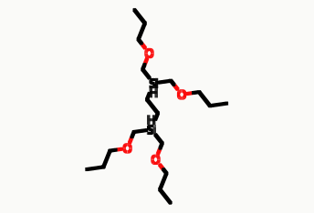 CCCOC[SiH](CC[SiH](COCCC)COCCC)COCCC